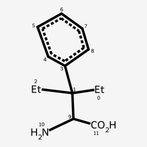 CCC(CC)(c1ccccc1)C(N)C(=O)O